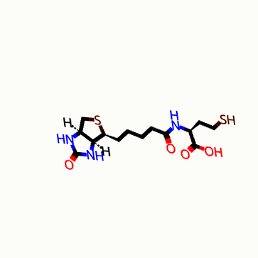 O=C(CCCC[C@@H]1SC[C@@H]2NC(=O)N[C@@H]21)N[C@@H](CCS)C(=O)O